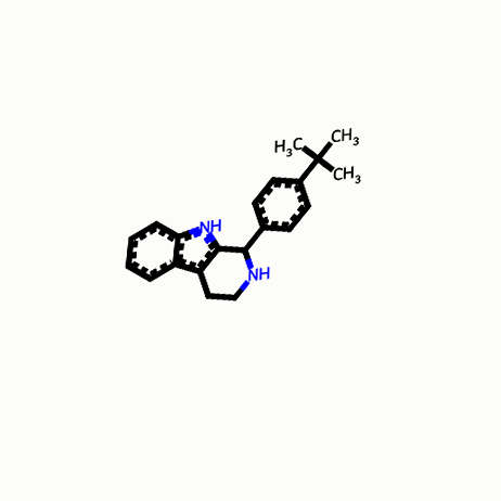 CC(C)(C)c1ccc(C2NCCc3c2[nH]c2ccccc32)cc1